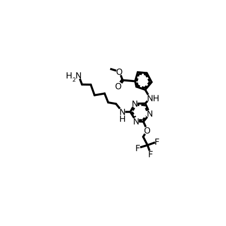 COC(=O)c1cccc(Nc2nc(NCCCCCCN)nc(OCC(F)(F)F)n2)c1